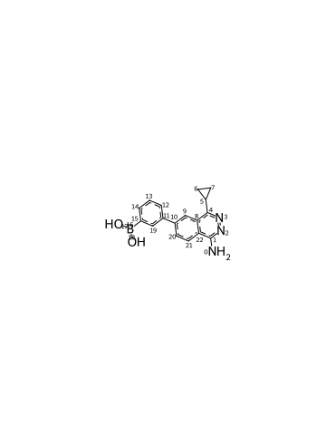 Nc1nnc(C2CC2)c2cc(-c3cccc(B(O)O)c3)ccc12